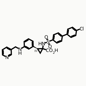 O=C(O)C1(NS(=O)(=O)c2ccc(-c3ccc(Cl)cc3)cc2)C[C@H]1c1cccc(NCc2cccnc2)c1